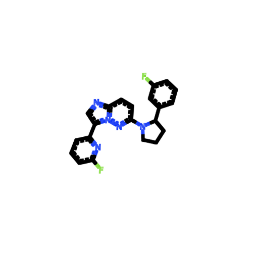 Fc1cccc(C2CCCN2c2ccc3ncc(-c4cccc(F)n4)n3n2)c1